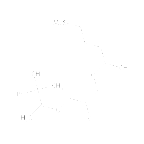 C=C(OCC(C)COC(C)CCCSC)C(C)(C)CCC